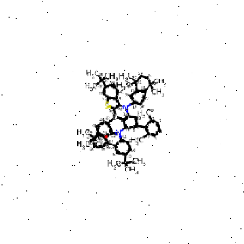 Cc1cccc(C)c1-c1cc2c3c(c1)N(c1ccc4c(c1)C(C)(C)CCC4(C)C)c1c(sc4cc(C(C)(C)C)ccc14)B3c1ccc(C(C)(C)C)cc1N2c1ccc(C(C)(C)C)cc1-c1ccccc1